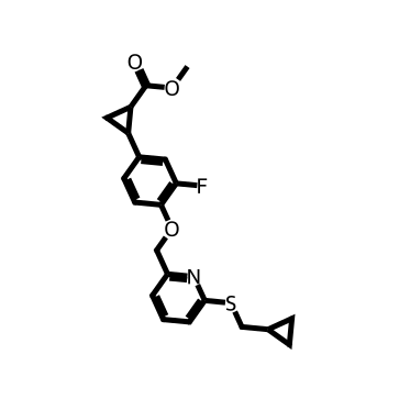 COC(=O)C1CC1c1ccc(OCc2cccc(SCC3CC3)n2)c(F)c1